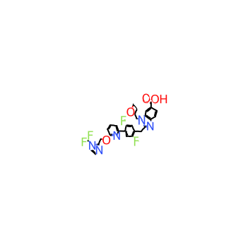 O=C(O)c1ccc2nc(Cc3cc(F)c(-c4cccc(OCc5nccn5C(F)F)n4)cc3F)n(CC3CCO3)c2c1